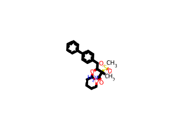 CC(C(N)=O)(C(Cc1ccc(-c2ccccc2)cc1)OC1CCCCO1)S(C)(=O)=O